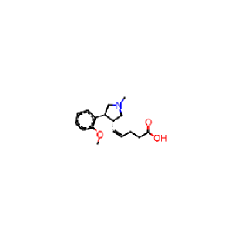 COc1ccccc1[C@H]1CN(C)C[C@@H]1/C=C\CCC(=O)O